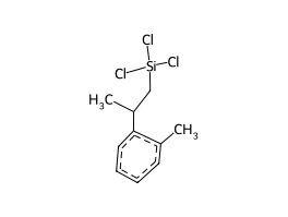 Cc1ccccc1C(C)C[Si](Cl)(Cl)Cl